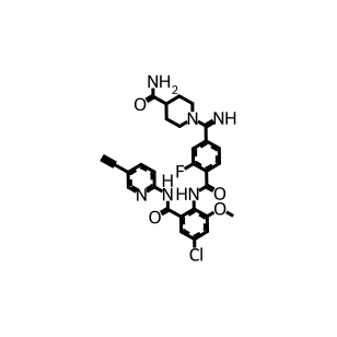 C#Cc1ccc(NC(=O)c2cc(Cl)cc(OC)c2NC(=O)c2ccc(C(=N)N3CCC(C(N)=O)CC3)cc2F)nc1